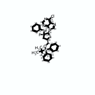 CC(C)(C)[Si](OC[C@H]1C[C@](F)([Se]c2ccccc2)[C@@H](n2cnc3c(Cl)ncnc32)S1)(c1ccccc1)c1ccccc1